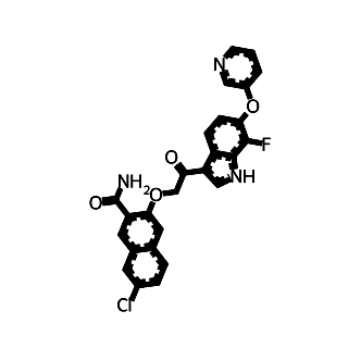 NC(=O)c1cc2cc(Cl)ccc2cc1OCC(=O)c1c[nH]c2c(F)c(Oc3cccnc3)ccc12